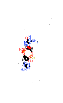 Nc1nc2c(nnn2[C@@H]2O[C@@H]3CO[P@](=O)(S)O[C@H]4[C@@H](O)[C@H](n5cnc6c(N)ncnc65)[C@H]5CC54COP(=O)(O)O[C@@H]2[C@@H]3O)c(=O)[nH]1